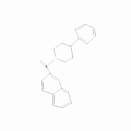 O=C(c1ccc2ccccc2c1)N1CCC(c2ccccc2)CC1